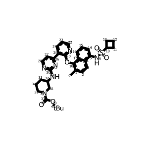 Cc1ccc2c(NS(=O)(=O)C3CCC3)cccc2c1Oc1ncccc1-c1ccnc(NC2CCCN(C(=O)OC(C)(C)C)C2)n1